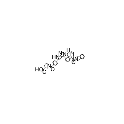 Cc1c(NC(=O)N2Cc3ccccc3C2)cccc1-c1ncnc2[nH]c(-c3ccc(C(=O)N4CCCC(C(=O)O)C4)cc3)cc12